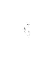 Cn1cc(-c2cc(-c3ccc(NCCNC(=O)CCC#CCC4CC4)nc3)c3c(C#N)cnn3c2)cn1